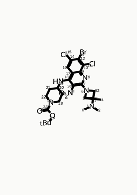 CN(C)C1(C)CN(c2nc3c(Cl)c(Br)c(Cl)cc3c(NC3CCN(C(=O)OC(C)(C)C)CC3)c2[N+](=O)[O-])C1